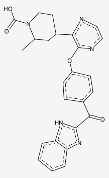 CC1CC(c2nccnc2Oc2ccc(C(=O)c3nc4ccccc4[nH]3)cc2)CCN1C(=O)O